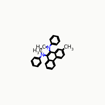 Cc1ccc2c(c1)c(N(C)c1ccccc1)c(N(C)c1ccccc1)c1ccccc12